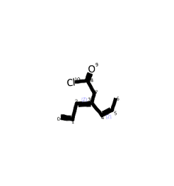 C=C/C=C(\C=C/C)CC(=O)Cl